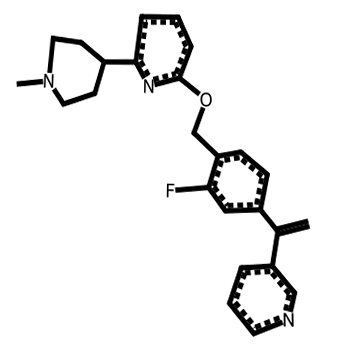 C=C(c1cccnc1)c1ccc(COc2cccc(C3CCN(C)CC3)n2)c(F)c1